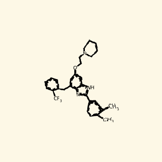 Cc1ccc(-c2nc3c(Cc4ccccc4C(F)(F)F)cc(OCCN4CCCCC4)cc3[nH]2)cc1C